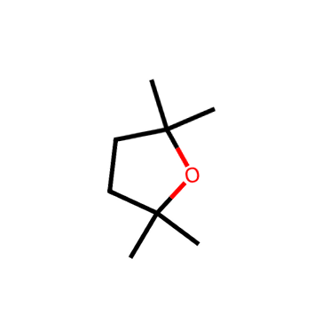 CC1(C)CCC(C)(C)O1